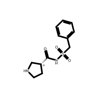 O=C(NS(=O)(=O)Cc1ccccc1)[C@@H]1CCNC1